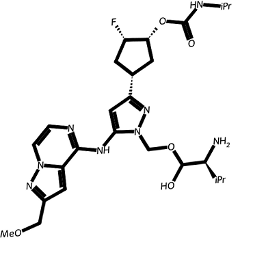 COCc1cc2c(Nc3cc([C@@H]4C[C@H](F)[C@H](OC(=O)NC(C)C)C4)nn3COC(O)[C@@H](N)C(C)C)nccn2n1